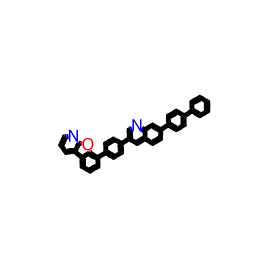 c1ccc(-c2ccc(-c3ccc4cc(-c5ccc(-c6cccc7c6oc6ncccc67)cc5)cnc4c3)cc2)cc1